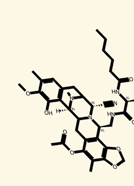 CCCCCC(=O)N[C@@H](C)C(=O)NC[C@H]1c2c(c(OC(C)=O)c(C)c3c2OCO3)CC2[C@H]3c4c(cc(C)c(OC)c4O)CC([C@H](C#N)N21)N3C